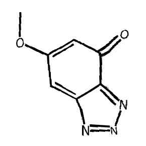 COC1=CC(=O)C2=NN=NC2=C1